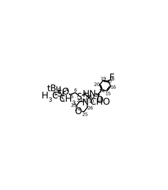 CC(C)(C)[Si](C)(C)OCCSC[C@](C=O)(NC(=O)c1ccc(F)cc1)N1CCOCC1